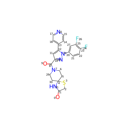 O=C1CSC2(CCN(C(=O)c3cc(-c4ccncc4)n(-c4ccc(F)c(F)c4)n3)CC2)N1